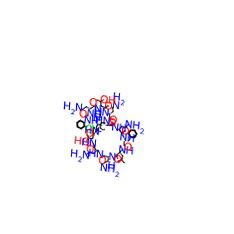 CC(C)C[C@@H]1NC(=O)[C@@H](Cc2ccccc2)NC(=O)[C@H](CCN)NC(=O)[C@@H](NC(=O)[C@H](CCN)NC(=O)[C@@H](NC(=O)[C@H](CCN)NC(=O)Nc2ccccc2Cl)C(C)O)CCNC(=O)C(C(C)O)NC(=O)[C@H](CCN)NC(=O)[C@H](CCN)NC1=O